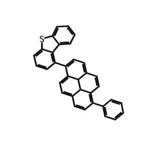 C1=CC2=C(c3ccccc3)C=CC3=CC=C4C(c5cccc6sc7ccccc7c56)=CC=C1C4C32